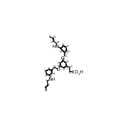 C/C=C/CNc1cccc(COc2cc(CCC(=O)O)cc(OCc3cccc(NC/C=C/C)c3)c2)c1